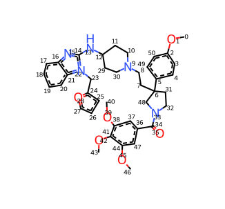 COc1ccc(C2(CCN3CCC(Nc4nc5ccccc5n4Cc4ccco4)CC3)CCN(C(=O)c3cc(OC)c(OC)c(OC)c3)C2)cc1